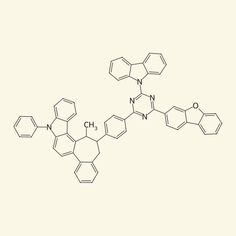 CC1c2c(ccc3c2c2ccccc2n3-c2ccccc2)-c2ccccc2CC1c1ccc(-c2nc(-c3ccc4c(c3)oc3ccccc34)nc(-n3c4ccccc4c4ccccc43)n2)cc1